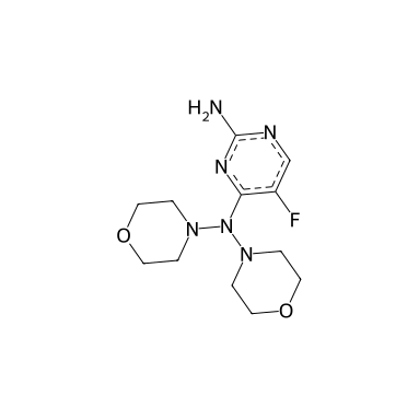 Nc1ncc(F)c(N(N2CCOCC2)N2CCOCC2)n1